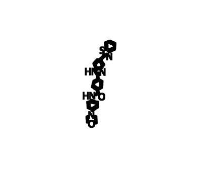 O=C(Nc1ccc(N2CCOCC2)cc1)c1ccc(-c2nc3cc(-c4nc5ccccc5s4)ccc3[nH]2)cc1